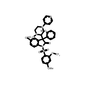 COc1ccc(S(=O)(=O)N2C(=O)C(c3ccccc3OC)(C3CN(c4ccncc4)CCN3C(=O)O)c3cc(Cl)ccc32)c(OC(F)(F)F)c1